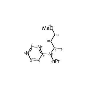 CCCN(c1ccncn1)C(C)CCOC